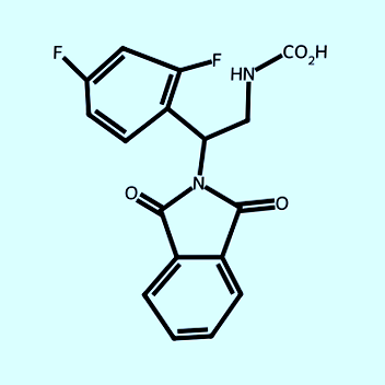 O=C(O)NCC(c1ccc(F)cc1F)N1C(=O)c2ccccc2C1=O